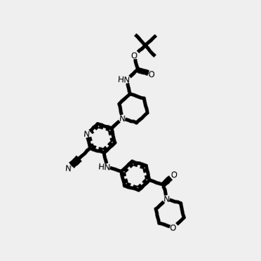 CC(C)(C)OC(=O)NC1CCCN(c2cnc(C#N)c(Nc3ccc(C(=O)N4CCOCC4)cc3)c2)C1